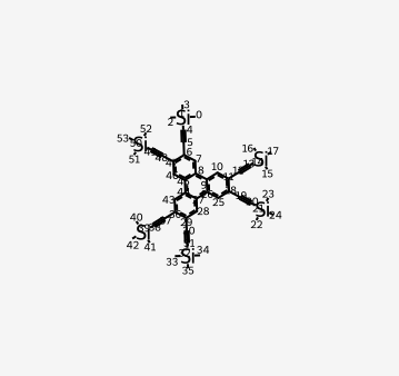 C[Si](C)(C)C#Cc1cc2c3cc(C#C[Si](C)(C)C)c(C#C[Si](C)(C)C)cc3c3cc(C#C[Si](C)(C)C)c(C#C[Si](C)(C)C)cc3c2cc1C#C[Si](C)(C)C